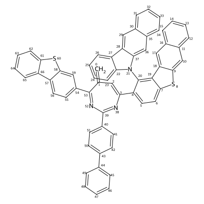 C=C1C=C(c2ccc3sc4cc5ccccc5cc4c3c2-n2c3ccccc3c3cc4ccccc4cc32)N=C(c2ccc(-c3ccccc3)cc2)N=C1c1ccc2c(c1)sc1ccccc12